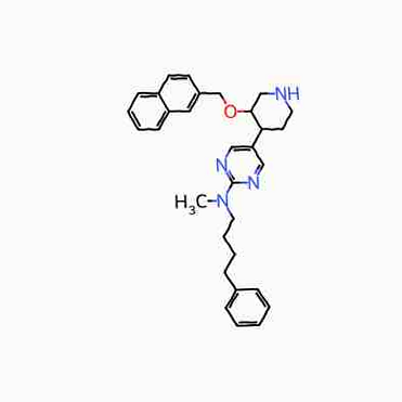 CN(CCCCc1ccccc1)c1ncc(C2CCNCC2OCc2ccc3ccccc3c2)cn1